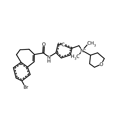 C[N+](C)(Cc1ccc(NC(=O)C2=Cc3cc(Br)ccc3CCC2)cc1)C1CCOCC1